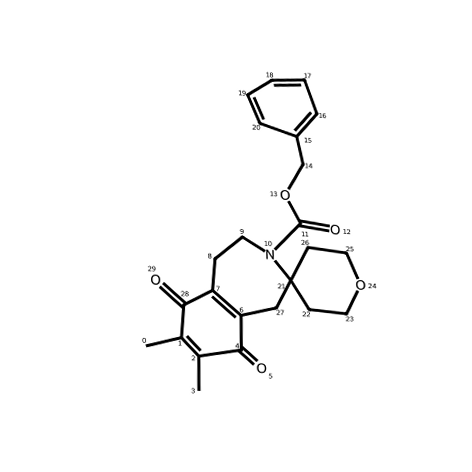 CC1=C(C)C(=O)C2=C(CCN(C(=O)OCc3ccccc3)C3(CCOCC3)C2)C1=O